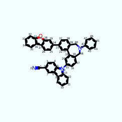 N#Cc1ccc2c(c1)c1ccccc1n2-c1ccc2c(c1)-c1cc(-c3ccc4c(c3)oc3ccccc34)ccc1CN(c1ccccc1)C2